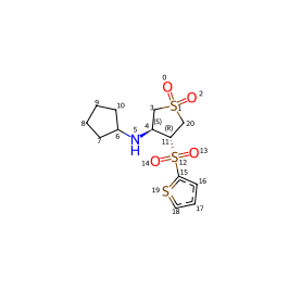 O=S1(=O)C[C@H](NC2CCCC2)[C@@H](S(=O)(=O)c2cccs2)C1